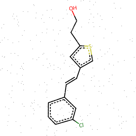 OCCc1cc(C=Cc2cccc(Cl)c2)cs1